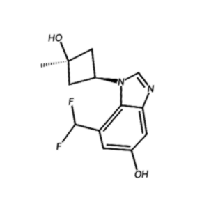 C[C@]1(O)C[C@@H](n2cnc3cc(O)cc(C(F)F)c32)C1